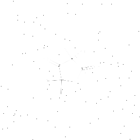 CC1(C)SC(=O)C(C)(C)C1=O